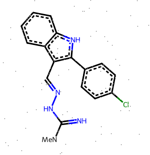 CNC(=N)NN=Cc1c(-c2ccc(Cl)cc2)[nH]c2ccccc12